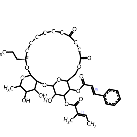 C/C=C(\C)C(=O)OC1C(O)C2OC(COC(=O)CCC(=O)CCCCCC[C@H](CCC)OC3OC(C)C(O)C(O)C3O2)C1OC(=O)/C=C/c1ccccc1